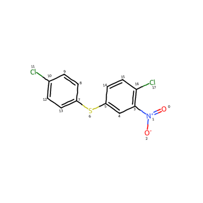 O=[N+]([O-])c1cc(Sc2ccc(Cl)cc2)ccc1Cl